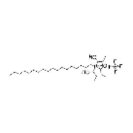 CCCCCCCCCCCCCCCCCC[P+](C(O)CC)(C(O)CC)C(O)CC.F[B-](F)(F)F